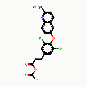 CCCCCCCc1ccc2cc(Oc3c(Br)cc(CCC(=O)OC(=O)CC)cc3Br)ccc2n1